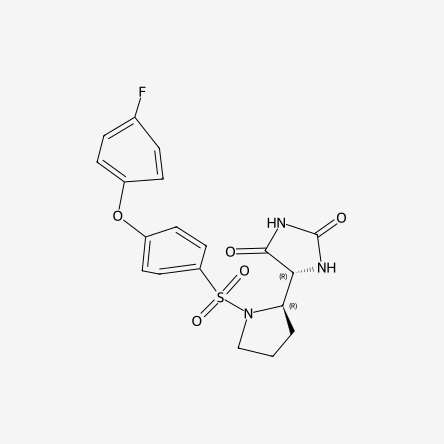 O=C1NC(=O)[C@@H]([C@H]2CCCN2S(=O)(=O)c2ccc(Oc3ccc(F)cc3)cc2)N1